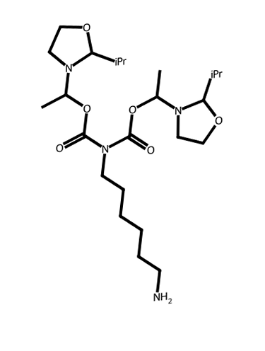 CC(C)C1OCCN1C(C)OC(=O)N(CCCCCCN)C(=O)OC(C)N1CCOC1C(C)C